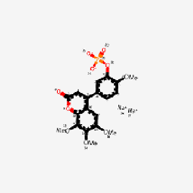 COc1ccc(-c2cc(=O)oc3c(OC)c(OC)c(OC)cc23)cc1OP(=O)([O-])[O-].[Na+].[Na+]